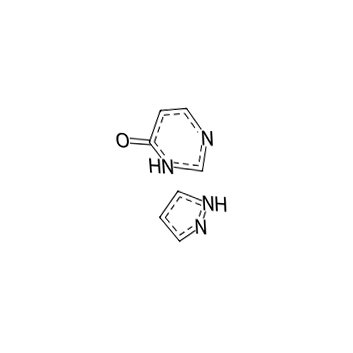 O=c1ccnc[nH]1.c1cn[nH]c1